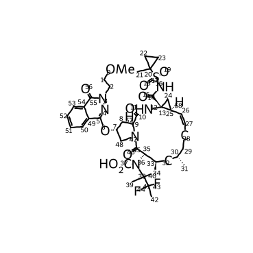 COCCn1nc(O[C@@H]2C[C@H]3C(=O)N[C@]4(C(=O)NS(=O)(=O)C5(C)CC5)C[C@H]4/C=C\CC[C@H](C)C[C@@H](C)[C@H](N(C(=O)O)C(C)(C)C(C)(F)F)C(=O)N3C2)c2ccccc2c1=O